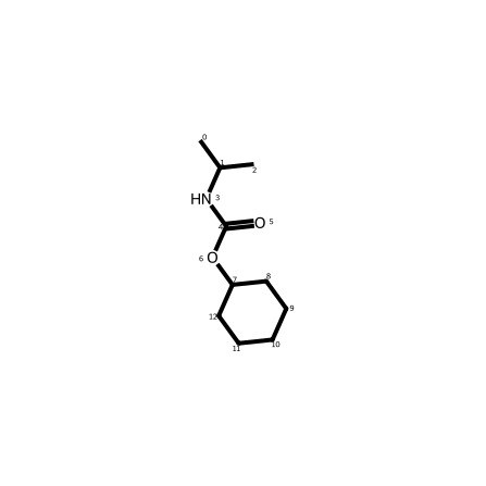 CC(C)NC(=O)OC1CCCCC1